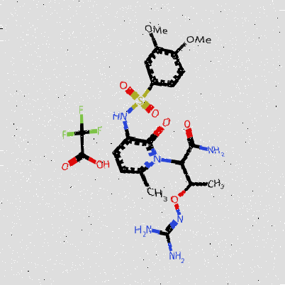 COc1ccc(S(=O)(=O)Nc2ccc(C)n(C(C(N)=O)C(C)ON=C(N)N)c2=O)cc1OC.O=C(O)C(F)(F)F